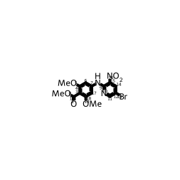 COC(=O)c1c(OC)cc(Nc2ncc(Br)cc2[N+](=O)[O-])cc1OC